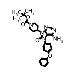 CC(C)(C)OC(=O)N1CCC(n2c(=O)n(-c3ccc(Oc4ccccc4)cc3)c3c(N)ncnc32)CC1